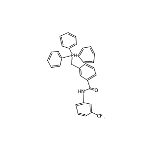 O=C(Nc1cccc(C(F)(F)F)c1)c1cccc(C[PH](c2ccccc2)(c2ccccc2)c2ccccc2)c1